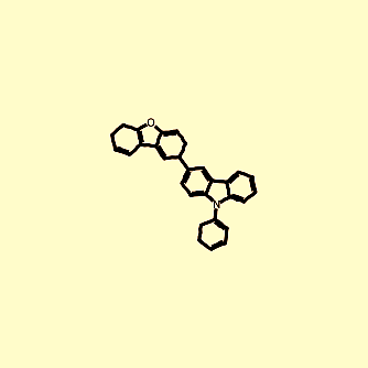 C1=CCCC(n2c3ccccc3c3cc(C4C=c5c6c(oc5=CC4)CCC=C6)ccc32)=C1